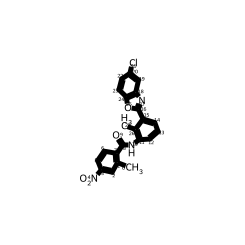 Cc1cc([N+](=O)[O-])ccc1C(=O)Nc1cccc(-c2nc3cc(Cl)ccc3o2)c1C